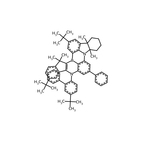 CC(C)(C)c1ccc2c(c1)C1=C(B3c4cc(C(C)(C)C)cc5c4N(c4cc(-c6ccccc6)cc(c43)N1c1ccc(C(C)(C)C)cc1-c1ccccc1)C1(C)CCCCC51C)C2(C)C